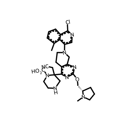 Cc1cccc2c(Cl)ncc(N3CCc4c(nc(OC[C@@H]5CCCN5C)nc4C4(CC#N)CNCCN4C(=O)O)C3)c12